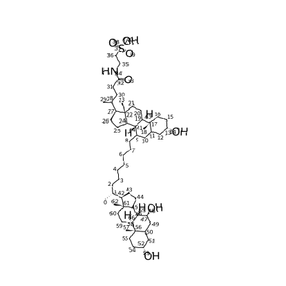 C[C@H](CCCCCCCC1CC2C[C@@H](O)CC[C@@]2(C)[C@@H]2CC[C@]3(C)C(CC[C@H]3[C@@H](C)CCC(=O)NCCS(=O)(=O)O)[C@@H]12)[C@H]1CCC2[C@@H]3[C@@H](O)CC4C[C@H](O)CC[C@]4(C)[C@H]3CC[C@@]21C